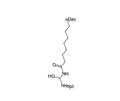 CCCCCCCCCCCCCCCCCC(=O)NC(O)CCCCCCC